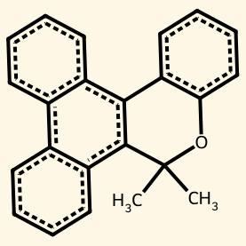 CC1(C)Oc2ccccc2-c2c1c1ccccc1c1ccccc21